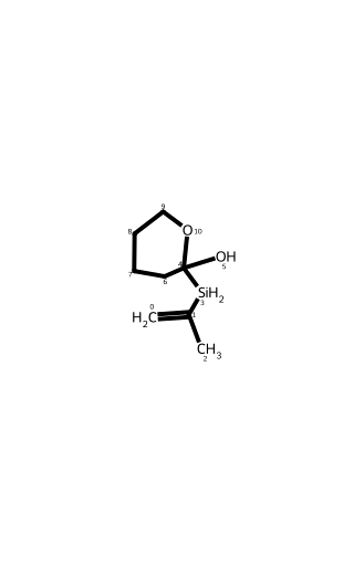 C=C(C)[SiH2]C1(O)CCCCO1